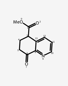 COC(=O)C1CCC(=O)c2ncccc21